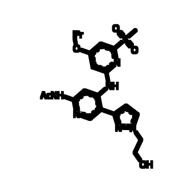 CC(=O)Nc1cc(Nc2cc(OC(C)C)cc(S(C)(=O)=O)n2)c(-c2ccn(CCO)n2)cn1